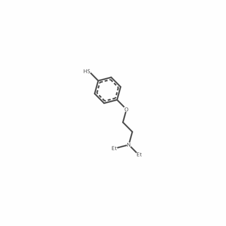 CCN(CC)CCOc1ccc(S)cc1